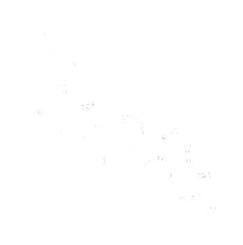 O=C1CCC(N2Cc3c(ccc(C(=O)NC(c4ccc(F)cc4)C(F)F)c3F)C2=O)C(=O)N1